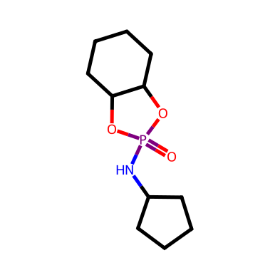 O=P1(NC2CCCC2)OC2CCCCC2O1